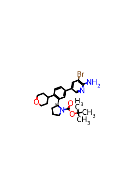 CC(C)(C)OC(=O)N1CCC[C@H]1c1cc(-c2cnc(N)c(Br)c2)ccc1C1CCOCC1